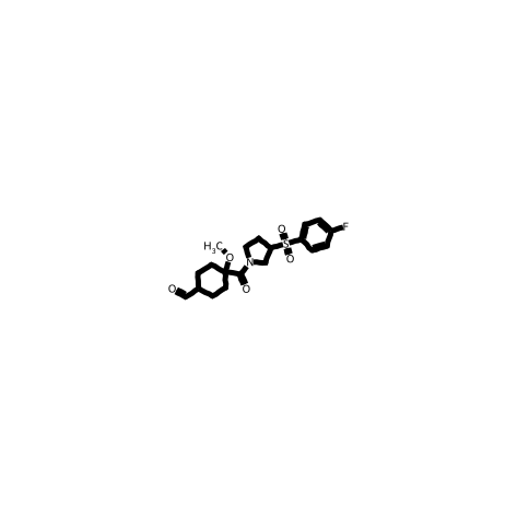 COC1(C(=O)N2CCC(S(=O)(=O)c3ccc(F)cc3)C2)CCC(C=O)CC1